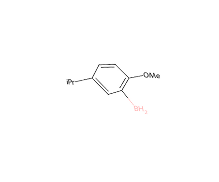 Bc1cc(C(C)C)ccc1OC